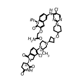 CC(C)n1c(=O)c(OCC(N)=O)cc2cc(Nc3nc(N4CCC(O[C@H]5C[C@H](N6CCN(c7ccc8c(c7Cl)CN([C@@H]7CCC(=O)NC7=O)C8=O)[C@H](C)C6)C5)CC4)ncc3Cl)ccc21